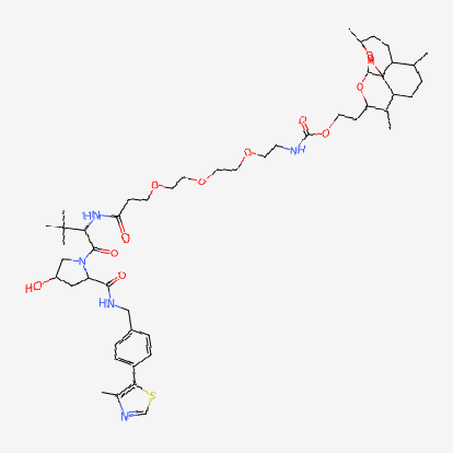 Cc1ncsc1-c1ccc(CNC(=O)C2CC(O)CN2C(=O)C(NC(=O)CCOCCOCCOCCNC(=O)OCCC2OC3OC4(C)CCC5C(C)CCC(C2C)C35OO4)C(C)(C)C)cc1